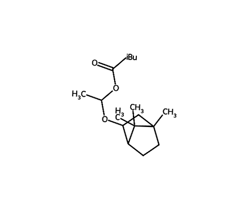 CCC(C)C(=O)OC(C)OC1CC2(C)CCC1C2(C)C